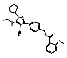 CCNc1c(C#N)c(-c2ccc(CNC(=O)c3ccccc3OC)cc2)nn1C1CCCC1